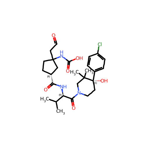 CC(C)[C@@H](NC(=O)[C@@H]1CCC(CC=O)(NC(=O)O)C1)C(=O)N1CC[C@](O)(c2ccc(Cl)cc2)C(C)(C)C1